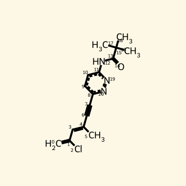 C=C(Cl)/C=C(\C)C#Cc1ccc(NC(=O)C(C)(C)C)nn1